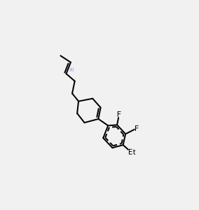 C/C=C/CCC1CC=C(c2ccc(CC)c(F)c2F)CC1